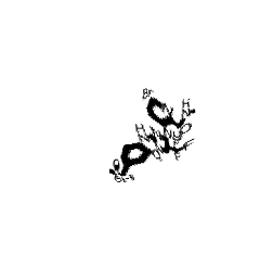 CNC(=O)c1nc(Br)ccc1Nc1nc(Nc2ccc(CP(C)(=O)O)cc2OC)ncc1C(F)(F)F